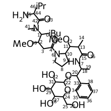 CCC(C)C(C(CC(=O)N1CCCC1C(OC)C(C)C(=O)NC(C)C(OC1OC(CO)C(O)C(O)C1O)c1ccccc1)OC)N(C)C(=O)C(N)C(C)C